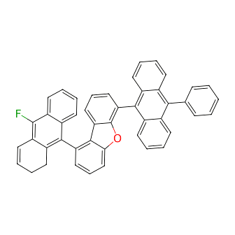 Fc1c2c(c(-c3cccc4oc5c(-c6c7ccccc7c(-c7ccccc7)c7ccccc67)cccc5c34)c3ccccc13)CCC=C2